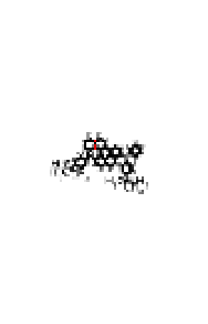 CC(C)(C)c1ccc(N(c2ccccc2)c2ccc3c4ccccc4c4c(N(c5ccccc5)c5ccc(C(C)(C)C)cc5)ccc5ccc2c3c54)cc1